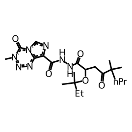 CCCC(C)(C)C(=O)CC(OC(C)(C)CC)C(=O)NNC(=O)c1ncn2c(=O)n(C)nnc12